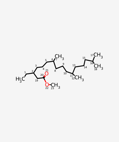 CCC(CCCC(C)CCCC(C)CCCC(C)C)CC(=O)OC